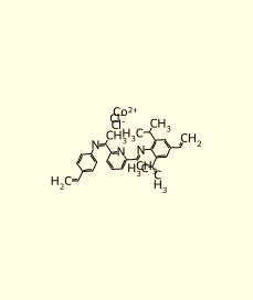 C=Cc1ccc(N=C(C)c2cccc(C(C)=Nc3c(C(C)C)cc(C=C)cc3C(C)C)n2)cc1.[Cl-].[Cl-].[Co+2]